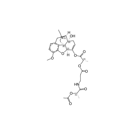 COc1ccc2c3c1O[C@@H]1C(OC(=O)[C@H](C)OC(=O)CCNC(=O)[C@H](C)OC(C)=O)=CC[C@]4(O)[C@H](C2)N(C)CC[C@@]314